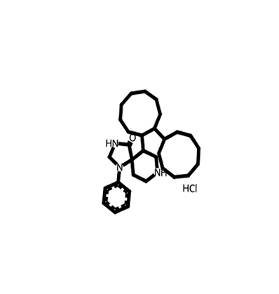 Cl.O=C1NCN(c2ccccc2)C12CCNCC2C1CCCCCCCC1C1CCCCCCCC1